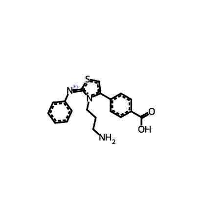 NCCCn1c(-c2ccc(C(=O)O)cc2)cs/c1=N/c1ccccc1